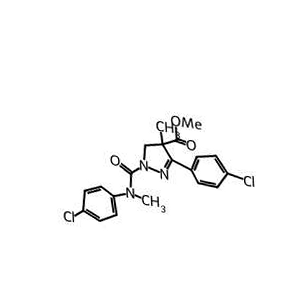 COC(=O)C1(C)CN(C(=O)N(C)c2ccc(Cl)cc2)N=C1c1ccc(Cl)cc1